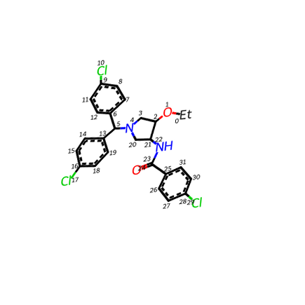 CCOC1CN(C(c2ccc(Cl)cc2)c2ccc(Cl)cc2)CC1NC(=O)c1ccc(Cl)cc1